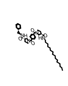 CCCCCCCCCCCCCCCCNC(=O)[C@@H]1CCN(C(=O)c2ccc(C(=O)N3CC[C@H](C(=O)N[C@H]4C[C@@H]4c4ccccc4)C3)cc2)C1